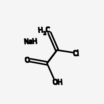 C=C(Cl)C(=O)O.[NaH]